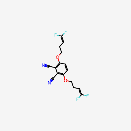 N#Cc1c(OCCC=C(F)F)ccc(OCCC=C(F)F)c1C#N